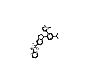 CC(C)c1ccc(C2CCc3cc(S(=O)(=O)Nc4ncccn4)ccc32)c(-c2ccnn2C)c1